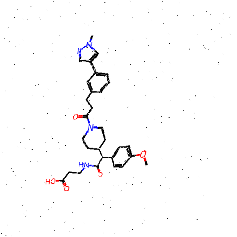 COc1ccc([C@@H](C(=O)NCCC(=O)O)C2CCN(C(=O)CCc3cccc(-c4cnn(C)c4)c3)CC2)cc1